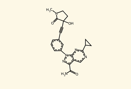 CN1CCC(O)(C#Cc2cccc(-n3nc(C(N)=O)c4cnc(C5CC5)nc43)c2)C1=O